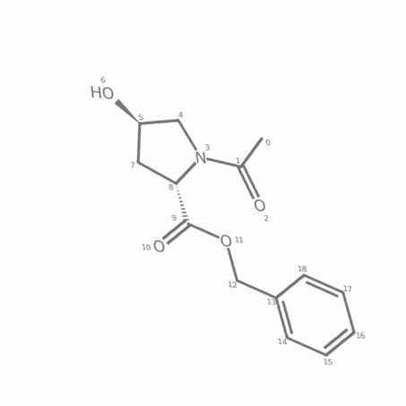 CC(=O)N1C[C@H](O)C[C@H]1C(=O)OCc1ccccc1